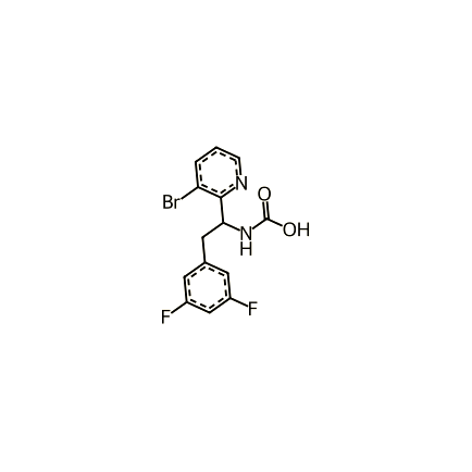 O=C(O)NC(Cc1cc(F)cc(F)c1)c1ncccc1Br